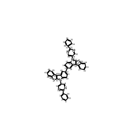 c1ccc(-c2ncc(-n3c4ccc(-c5ccc6c(c5)c5c7ccccc7sc5n6-c5cnc(-c6ccccc6)nc5)cc4c4c5ccccc5sc43)cn2)cc1